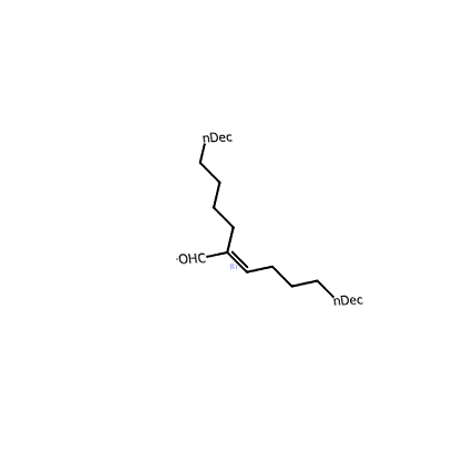 CCCCCCCCCCCCC/C=C(/[C]=O)CCCCCCCCCCCCCC